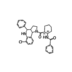 O=C(N[C@@H]1CCCC[C@@H]1C(=O)N1CCC2C(c3ccccc3)Nc3c(Cl)cccc3C21)c1ccccc1